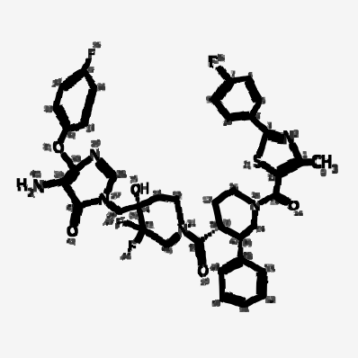 Cc1nc(-c2ccc(F)cc2)sc1C(=O)N1CC[C@@H](C(=O)N2CC[C@](O)(Cn3cnc(Oc4ccc(F)cc4)c(N)c3=O)C(F)(F)C2)[C@H](c2ccccc2)C1